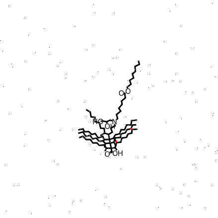 CCCCCCCCCOC(=O)CCCCCCCN(CCCC(C(C)CCCCCCCC)C(C(C)CCCCCCCC)(C(C)CCCCCCCC)C(C(C)CCCCCCCC)(C(C)CCCCCCCC)C(C(=O)O)(C(C)CCCCCCCC)C(C)CCCCCCCC)CC(O)CO